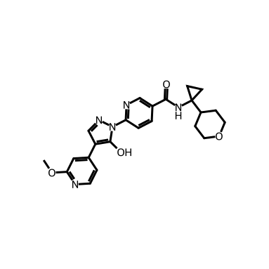 COc1cc(-c2cnn(-c3ccc(C(=O)NC4(C5CCOCC5)CC4)cn3)c2O)ccn1